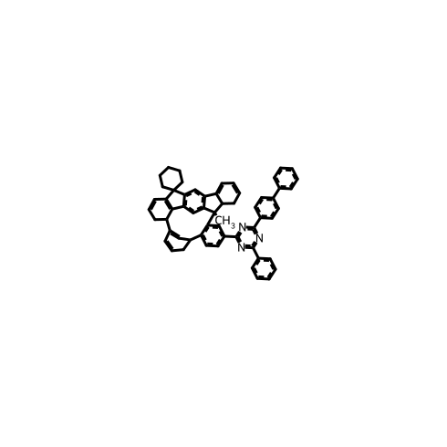 CC12c3cc4c(cc3C3=CC=CCC31)C1(CCCCC1)C1=C4C(CC=C1)C1=CC(CC=C1)c1ccc(-c3nc(-c4ccccc4)nc(-c4ccc(-c5ccccc5)cc4)n3)cc12